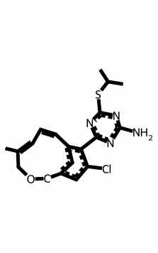 C/C1=C\C=C/c2cc(cc(Cl)c2-c2nc(N)nc(SC(C)C)n2)COC1